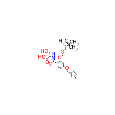 C[Si](C)(C)CCOCOc1cc(OCc2ccsc2)ccc1C(=O)N[C@@H](CO)C(=O)O